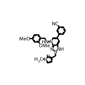 COc1ccc(CNN2C=C(c3cccc(C#N)c3)C=C3NN(Cc4ccn(C)n4)N=C32)c(OC)c1